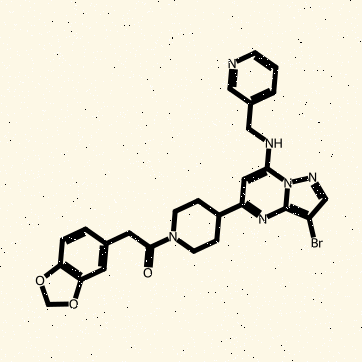 O=C(Cc1ccc2c(c1)OCO2)N1CCC(c2cc(NCc3cccnc3)n3ncc(Br)c3n2)CC1